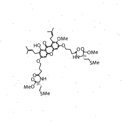 COC(=O)[C@H](CCSC)NC(=O)CCCOc1cc2oc3cc(OCCCC(=O)N[C@H](CCSC)C(=O)OC)c(CC=C(C)C)c(O)c3c(=O)c2c(CC=C(C)C)c1OC